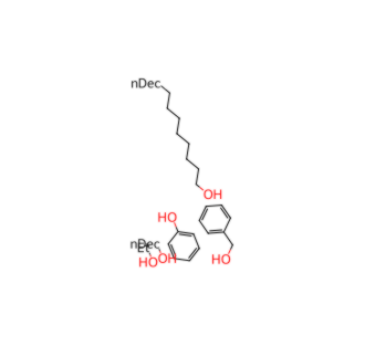 CCCCCCCCCCCCCCCCCCO.CCCCCCCCCCO.CCO.OCc1ccccc1.Oc1ccccc1